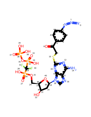 [N-]=[N+]=Nc1ccc(C(=O)CSc2nc(N)c3ncn([C@H]4C[C@@H](O)[C@@H](COP(=O)(O)C(F)(F)P(=O)(O)OP(=O)(O)O)O4)c3n2)cc1